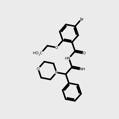 N=C(NC(=O)c1cc(Br)ccc1OCC(=O)O)C(c1ccccc1)N1CCOCC1